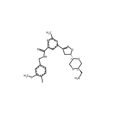 COc1cc(CNC(=O)c2cc(C3=NOC([C@H]4CO[C@H](CN)CO4)C3)nc(C)n2)ccc1F